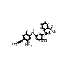 CCC#Cc1cc(C)c(Nc2ncc(Cl)c(Nc3ccccc3P(C)(C)=O)n2)cc1N